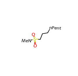 CCCCCCCCS(=O)(=O)NC